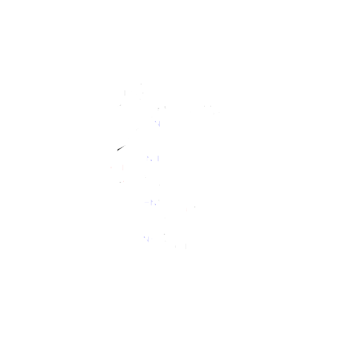 C[C@H](N)C(=O)NCC(=O)N[C@@H](CO)C(=O)N[C@@H](CCC(=O)O)C(=O)O